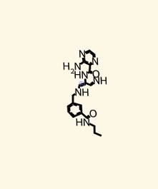 CCCNC(=O)c1cccc(CN/C=C(\C=N)NC(=O)c2nccnc2N)c1